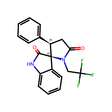 O=C1C[C@H](c2ccccc2)[C@]2(C(=O)Nc3ccccc32)N1CC(F)(F)F